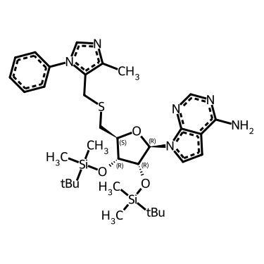 Cc1ncn(-c2ccccc2)c1CSC[C@H]1O[C@@H](n2ccc3c(N)ncnc32)[C@H](O[Si](C)(C)C(C)(C)C)[C@@H]1O[Si](C)(C)C(C)(C)C